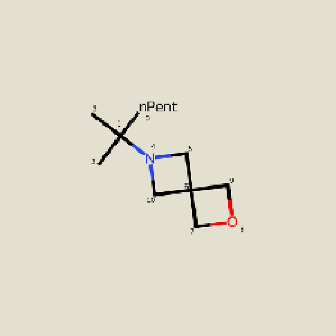 CCCCCC(C)(C)N1CC2(COC2)C1